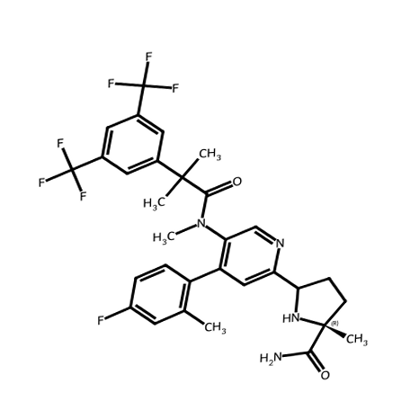 Cc1cc(F)ccc1-c1cc(C2CC[C@](C)(C(N)=O)N2)ncc1N(C)C(=O)C(C)(C)c1cc(C(F)(F)F)cc(C(F)(F)F)c1